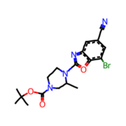 CC1CN(C(=O)OC(C)(C)C)CCN1c1nc2cc(C#N)cc(Br)c2o1